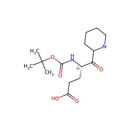 CC(C)(C)OC(=O)N[C@@H](CCC(=O)O)C(=O)C1CCCC[N]1